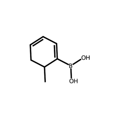 CC1CC=CC=C1B(O)O